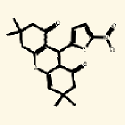 CC1(C)C=C2OC3=C(C(=O)CC(C)(C)C3)C(c3ccc([N+](=O)[O-])s3)C2C(=O)C1